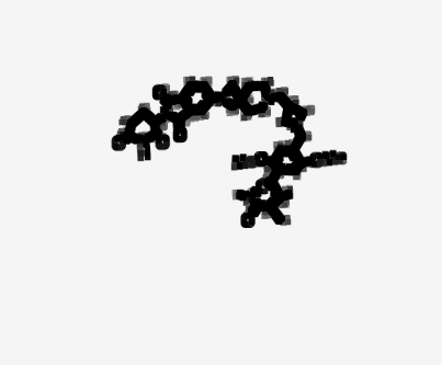 COc1cc(-c2cn(C)c(=O)c(C)c2C)c(OC)cc1CN1CC(CN2CCC3(CC2)CN(c2ccc4c(c2)C(=O)N(C2CCC(=O)NC2=O)C4=O)C3)C1